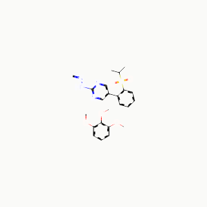 C=NNc1ncc(-c2ccccc2S(=O)(=O)C(C)C)cn1.COc1cccc(OC)c1OC